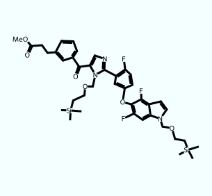 COC(=O)CCc1cccc(C(=O)c2cnc(-c3cc(Oc4c(F)cc5c(ccn5COCC[Si](C)(C)C)c4F)ccc3F)n2COCC[Si](C)(C)C)c1